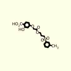 Cc1cccc(S(=O)(=O)CCCOC(=O)COc2ccc(C(=O)O)c(O)c2)c1